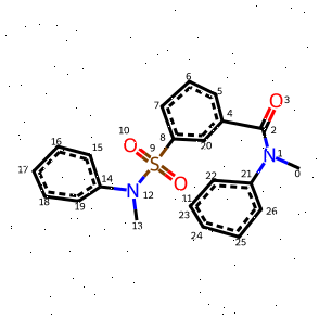 CN(C(=O)c1cccc(S(=O)(=O)N(C)c2ccccc2)c1)c1ccccc1